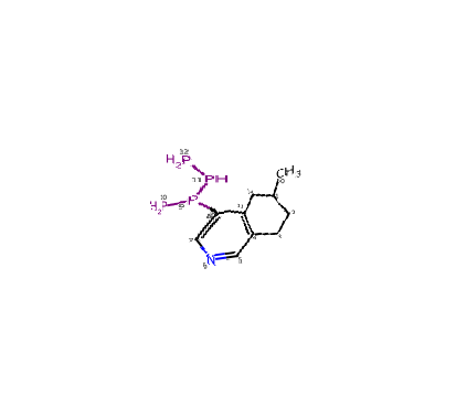 CC1CCc2cncc(P(P)PP)c2C1